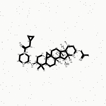 CC(=O)C[C@H]1C[C@@H](C)[C@H]2[C@H](O1)[C@H](O)[C@@]1(C)[C@@H]3CCC4C(C)(C)[C@@H](O[C@H]5CN(C(=O)CC6CC6)CCO5)CC[C@@]45CC35CC[C@]21C